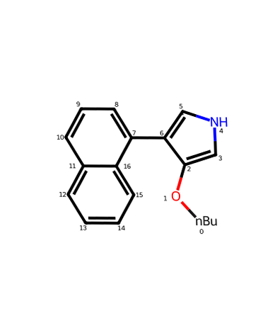 CCCCOc1c[nH][c]c1-c1cccc2ccccc12